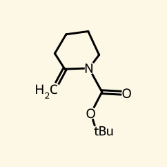 C=C1CCCCN1C(=O)OC(C)(C)C